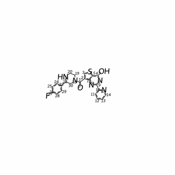 O=C(c1csc2c(O)nc(-c3ccccn3)nc12)N1CCNC(c2ccc(F)cc2)C1